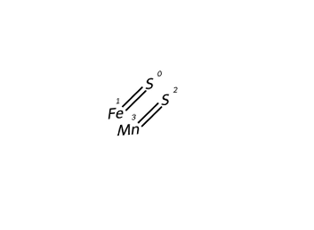 [S]=[Fe].[S]=[Mn]